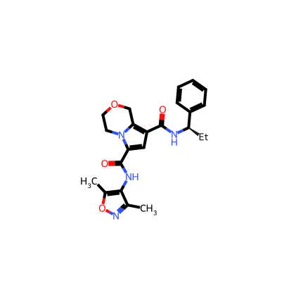 CC[C@@H](NC(=O)c1cc(C(=O)Nc2c(C)noc2C)n2c1COCC2)c1ccccc1